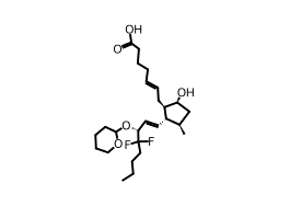 CCCCC(F)(F)[C@@H](C=C[C@@H]1[C@@H](CC=CCCCC(=O)O)[C@@H](O)C[C@H]1C)OC1CCCCO1